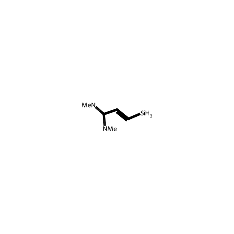 CNC(C=C[SiH3])NC